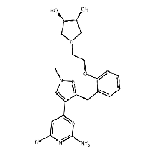 Cn1cc(-c2cc(Cl)nc(N)n2)c(Cc2ccccc2OCCN2C[C@@H](O)[C@@H](O)C2)n1